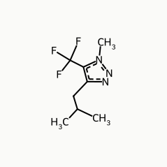 CC(C)Cc1nnn(C)c1C(F)(F)F